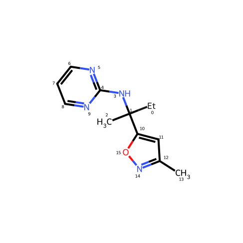 CCC(C)(Nc1ncccn1)c1cc(C)no1